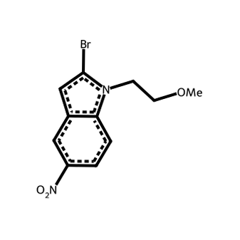 COCCn1c(Br)cc2cc([N+](=O)[O-])ccc21